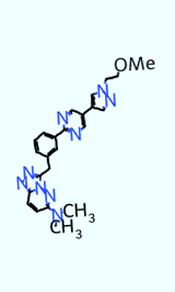 COCCn1cc(-c2cnc(-c3cccc(Cc4nnc5ccc(N(C)C)nn45)c3)nc2)cn1